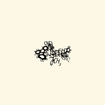 CC(=O)CC[C@H](CSC(c1ccccc1)(c1ccccc1)c1ccccc1)NC(=O)[C@@H](C)[C@H](C[C@H](C)C[C@H](OC(=O)C1CCCC1)C(C)(C)C)OC(=O)OCC(Cl)(Cl)Cl